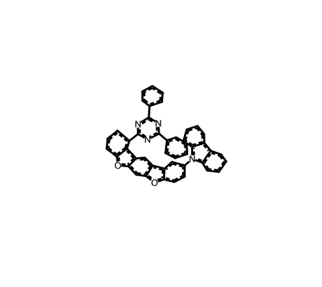 c1ccc(-c2nc(-c3ccccc3)nc(-c3cccc4oc5cc6oc7ccc(-n8c9ccccc9c9ccccc98)cc7c6cc5c34)n2)cc1